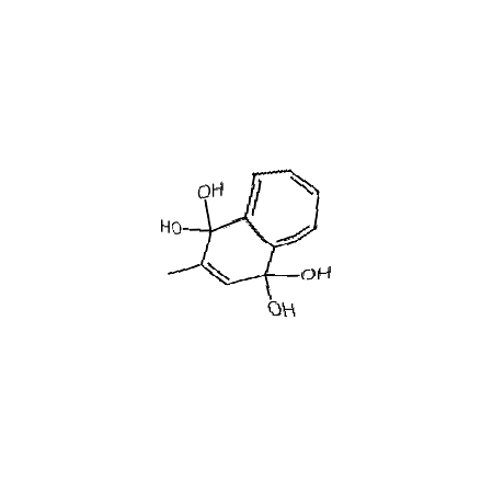 CC1=CC(O)(O)c2ccccc2C1(O)O